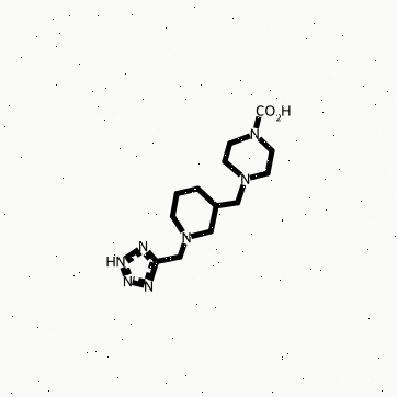 O=C(O)N1CCN(CC2CCCN(Cc3nn[nH]n3)C2)CC1